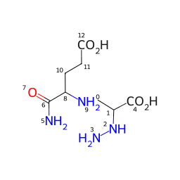 CC(NN)C(=O)O.NC(=O)C(N)CCC(=O)O